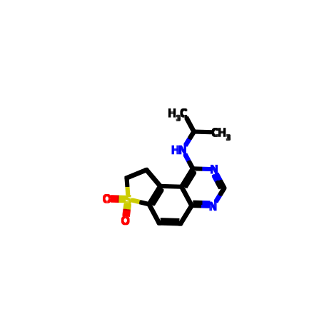 CC(C)Nc1ncnc2ccc3c(c12)CCS3(=O)=O